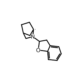 c1ccc2c(c1)CC(N1CC3CC[C]1C3)O2